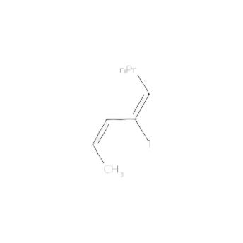 C/C=C\C(I)=C/CCC